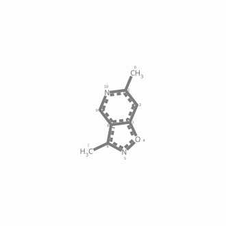 Cc1cc2onc(C)c2cn1